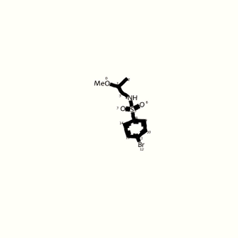 COC(C)CNS(=O)(=O)c1ccc(Br)cc1